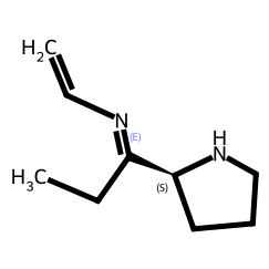 C=C/N=C(\CC)[C@@H]1CCCN1